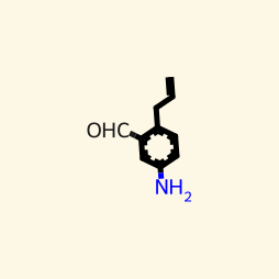 C=CCc1ccc(N)cc1C=O